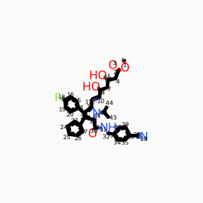 COC(=O)C[C@H](O)C[C@H](O)/C=C/c1c(-c2ccc(F)cc2)c(-c2ccccc2)c(C(=O)NCc2ccc(C#N)cc2)n1C(C)C